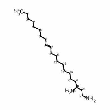 CCCCCCCCC=CCCCCCCCCC(N)CCN